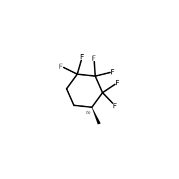 C[C@H]1CCC(F)(F)C(F)(F)C1(F)F